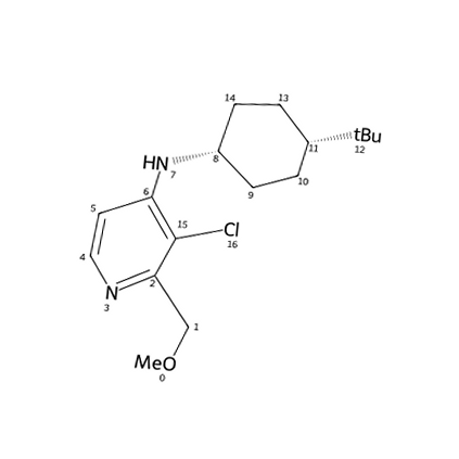 COCc1nccc(N[C@H]2CC[C@@H](C(C)(C)C)CC2)c1Cl